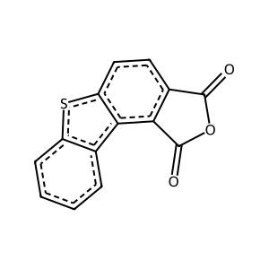 O=C1OC(=O)c2c1ccc1sc3ccccc3c21